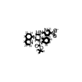 CC(C)(C)OC(=O)n1c(CN(CCNc2ccc([N+](=O)[O-])cn2)C2CCCc3cccnc32)nc2ccccc21